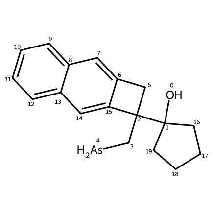 OC1(C2(C[AsH2])Cc3cc4ccccc4cc32)CCCC1